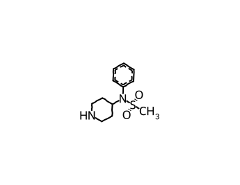 CS(=O)(=O)N(c1ccccc1)C1CCNCC1